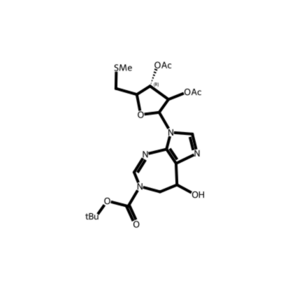 CSCC1OC(n2cnc3c2N=CN(C(=O)OC(C)(C)C)CC3O)C(OC(C)=O)[C@H]1OC(C)=O